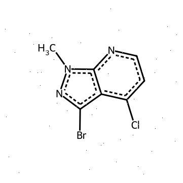 Cn1nc(Br)c2c(Cl)ccnc21